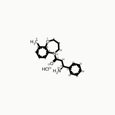 Cc1cccc2c1OCCCN2C(=O)C[C@H](N)c1ccccc1.Cl